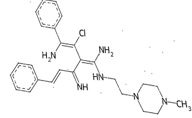 CN1CCN(CCN/C(N)=C(C(=N)/C=C/c2ccccc2)/C(Cl)=C(\N)c2ccccc2)CC1